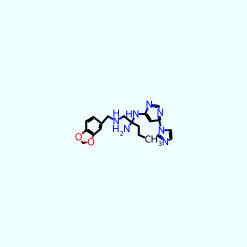 CCCC(N)(CNCc1ccc2c(c1)OCO2)Nc1cc(-n2ccnc2)ncn1